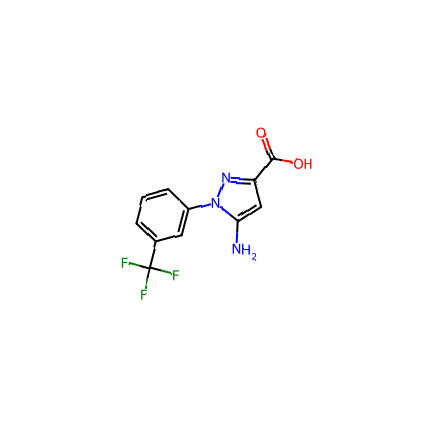 Nc1cc(C(=O)O)nn1-c1cccc(C(F)(F)F)c1